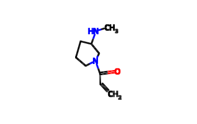 C=CC(=O)N1CCCC(NC)C1